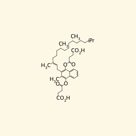 C/C(=C\Cc1c(C)c(OC(=O)CCC(=O)O)c2ccccc2c1OC(=O)CCC(=O)O)CCC[C@H](C)CCC[C@H](C)CCCC(C)C